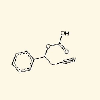 N#CCC(OC(=O)O)c1ccccc1